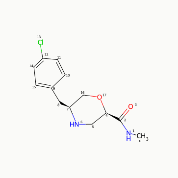 CNC(=O)[C@H]1CN[C@@H](Cc2ccc(Cl)cc2)CO1